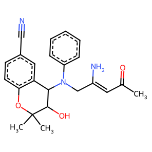 CC(=O)C=C(N)CN(c1ccccc1)C1c2cc(C#N)ccc2OC(C)(C)C1O